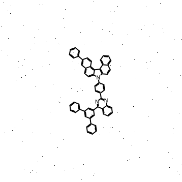 c1ccc(-c2cc(-c3ccccc3)cc(-c3nc(-c4ccc(-n5c6ccc7ccccc7c6c6c7ccc(-c8ccccc8)cc7ccc65)cc4)nc4ccccc34)c2)cc1